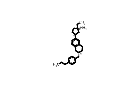 CCCc1ccc(C[C@@H]2CCc3cc([C@H]4CC[C@](N)(CC)C4)ccc3C2)cc1